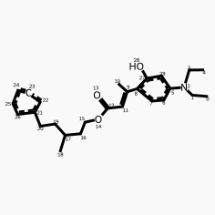 CCN(CC)c1ccc(C(C)=CC(=O)OCCC(C)CCc2ccccc2)c(O)c1